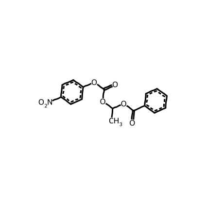 CC(OC(=O)Oc1ccc([N+](=O)[O-])cc1)OC(=O)c1ccccc1